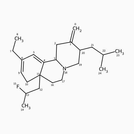 C=C1CC2C3=CC(CC)=CCC3(CC(C)F)CCN2CC1CC(C)C